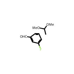 COC(C)OC.O=Cc1cccc(F)c1